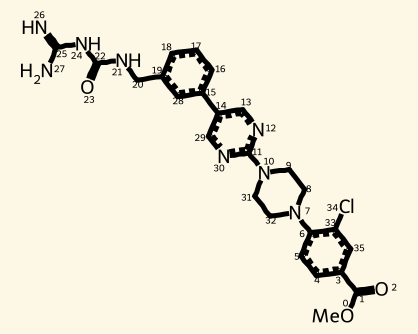 COC(=O)c1ccc(N2CCN(c3ncc(-c4cccc(CNC(=O)NC(=N)N)c4)cn3)CC2)c(Cl)c1